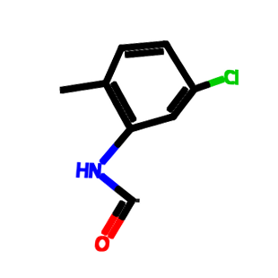 Cc1ccc(Cl)cc1N[C]=O